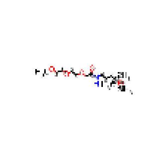 COCCOCCOCC(=O)NCCC[Si](C)(C)O[SiH3]